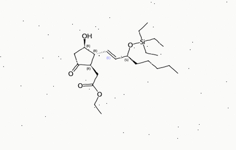 CCCCC[C@@H](/C=C/[C@H]1[C@H](O)CC(=O)[C@@H]1CC(=O)OCC)O[Si](CC)(CC)CC